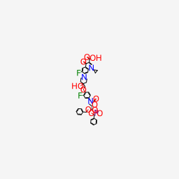 O=POC(OCc1ccccc1)(OCc1ccccc1)[C@H]1CN(c2ccc(OCC3(O)CCN(c4cc5c(cc4F)c(=O)c(C(=O)O)cn5C4CC4)CC3)c(F)c2)C(=O)O1